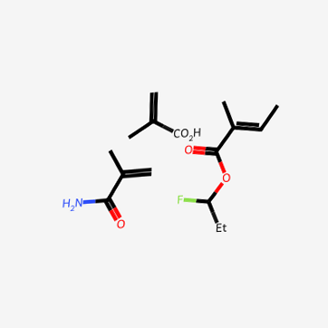 C=C(C)C(=O)O.C=C(C)C(N)=O.CC=C(C)C(=O)OC(F)CC